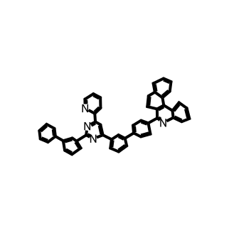 c1ccc(-c2cccc(-c3nc(-c4cccc(-c5ccc(-c6nc7ccccc7c7c6ccc6ccccc67)cc5)c4)cc(-c4ccccn4)n3)c2)cc1